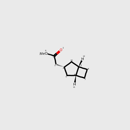 COC(=O)C[C@H]1C[C@H]2CC[C@H]2C1